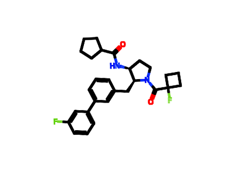 O=C(N[C@H]1CCN(C(=O)C2(F)CCC2)[C@H]1Cc1cccc(-c2cccc(F)c2)c1)C1CCCC1